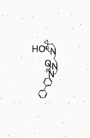 C[C@@H]1C(=O)N(CCCN2CCC3(CC3)[C@H](O)C2)CCN1c1ccc(-c2ccccc2)cc1